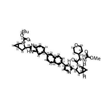 COC(=O)N[C@H](C(=O)N1[C@@H]2C[C@H]2C[C@H]1c1ncc(-c2ccc3cc(-c4ccc5nc(C6CC7CC7N6C(=O)OC(C)(C)C)[nH]c5c4)ccc3c2)[nH]1)C1CCOCC1